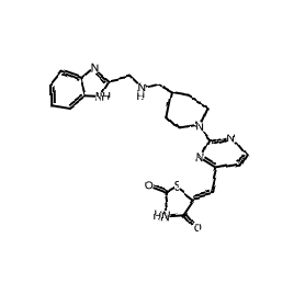 O=C1NC(=O)C(=Cc2ccnc(N3CCC(CNCc4nc5ccccc5[nH]4)CC3)n2)S1